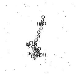 Cc1ncsc1-c1ccc(CNC(=O)[C@@H]2C[C@@H](O)CN2C(=O)[C@@H](NC(=O)C2(F)CC2)C(C)(C)C)c(OCCOCCOCCOCCOCCNC(=O)OCc2ccccc2)c1